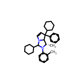 Cc1ccccc1N1C(C2CCCCC2)N2C=CC(c3ccccc3)(C3CCCCC3)C2[C@@H]1C